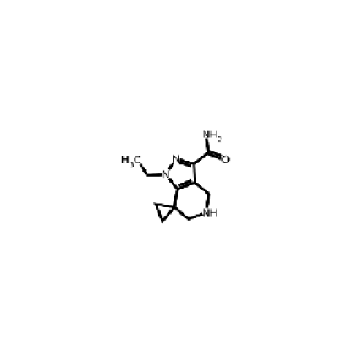 CCn1nc(C(N)=O)c2c1C1(CC1)CNC2